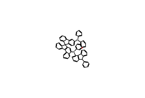 c1ccc(C2c3ccccc3-c3c2cccc3N(c2ccccc2)c2cc3c(c4ccccc24)-c2ccccc2C32c3ccccc3-c3cc(N(c4ccccc4)c4ccccc4)ccc32)cc1